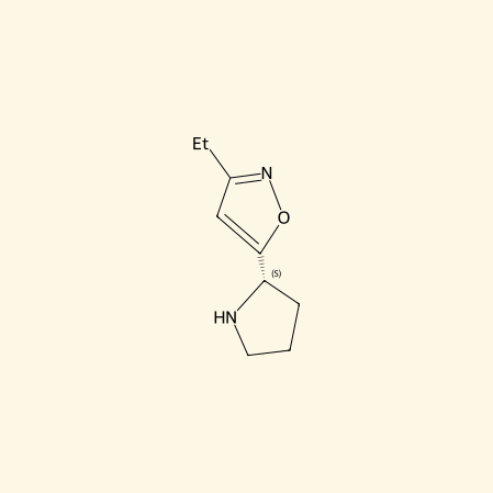 CCc1cc([C@@H]2CCCN2)on1